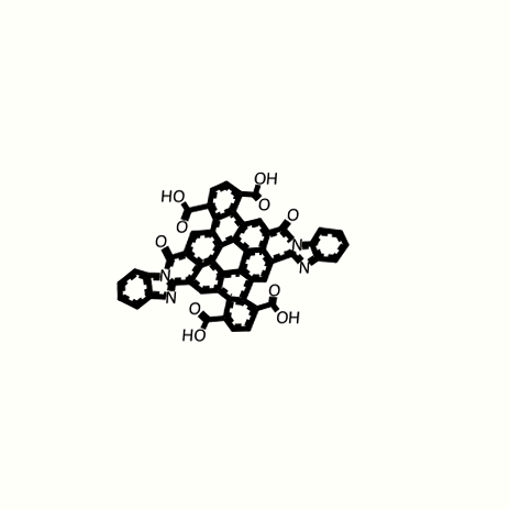 O=C(O)c1ccc(C(=O)O)c2c3cc4c(=O)n5c6ccccc6nc5c5cc6c7c(C(=O)O)ccc(C(=O)O)c7c7cc8c9c(cc(c12)c1c3c(c45)c6c7c91)c(=O)n1c2ccccc2nc81